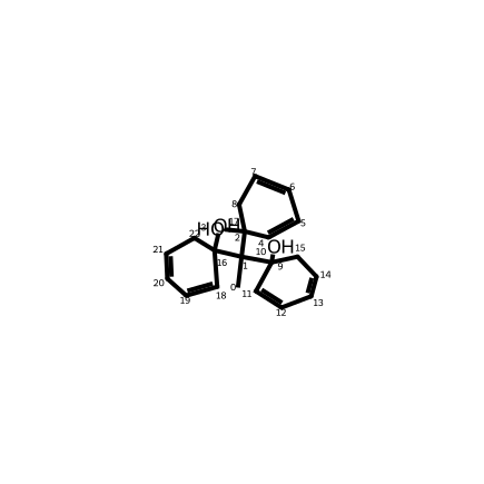 CC(C1(O)C=CC=CC1)(C1(O)C=CC=CC1)C1(O)C=CC=CC1